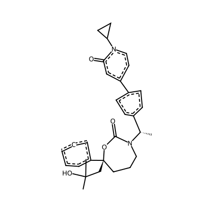 C[C@@H](c1ccc(-c2ccn(C3CC3)c(=O)c2)cc1)N1CCC[C@](CC(C)(C)O)(c2ccccc2)OC1=O